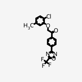 Cc1ccc(Cl)c(OCC(=O)c2ccc(-c3noc(C(F)(F)F)n3)cc2)c1